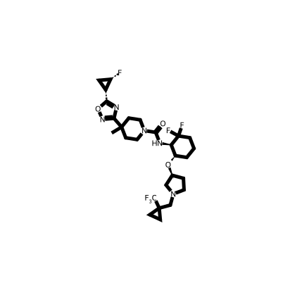 CC1(c2noc([C@@H]3C[C@@H]3F)n2)CCN(C(=O)N[C@@H]2[C@@H](O[C@H]3CCN(CC4(C(F)(F)F)CC4)C3)CCCC2(F)F)CC1